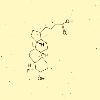 C[C@H](CCC(=O)O)C1CC[C@H]2[C@@H]3CC[C@@H]4[C@@H](F)[C@@H](O)CC[C@]4(C)[C@H]3CC[C@]12C